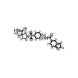 O=C(NCc1ccc(S(=O)(=O)N2CCC3(CCNC3=O)C2)cc1)c1ccc2nccn2c1